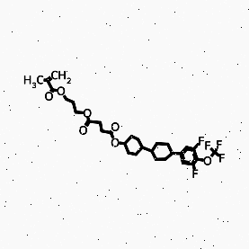 C=C(C)C(=O)OCCCOC(=O)CCC(=O)OC1CCC(C2CCC(c3cc(F)c(OC(F)(F)F)c(F)c3)CC2)CC1